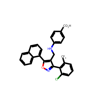 O=C(O)c1ccc(NCc2c(-c3c(Cl)cccc3C(F)(F)F)noc2-c2cccc3ccccc23)cc1